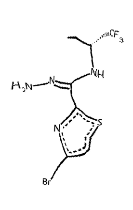 C[C@@H](N/C(=N/N)c1nc(Br)cs1)C(F)(F)F